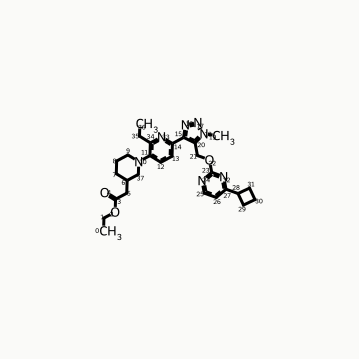 CCOC(=O)CC1CCCN(c2ccc(-c3nnn(C)c3COc3nccc(C4CCC4)n3)nc2CC)C1